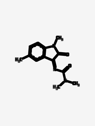 Cc1ccc2c(c1)C(=NC(=O)N(C)C)C(=O)N2C